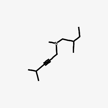 CCC(C)CN(C)CC#CC(C)C